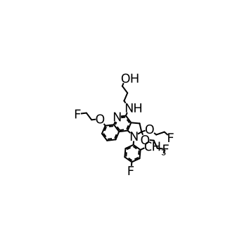 Cc1cc(F)ccc1N1c2c(c(NCCCO)nc3c(OCCF)cccc23)CC1(OCCF)OCCF